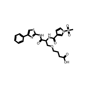 CS(=O)(=O)n1ccc(C(=O)NC(COCCCC(=O)O)C(=O)Nc2nc(-c3ccccc3)cs2)c1